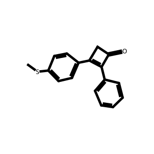 CSc1ccc(C2=C(c3ccccc3)C(=O)C2)cc1